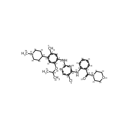 Cc1cc(Nc2ncc(Cl)c(Nc3ccccc3C(=O)N3CCOCC3)n2)c(OC(C)C)cc1C1CCN(C)CC1